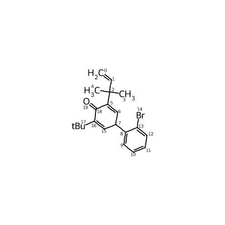 C=CC(C)(C)C1=CC(c2ccccc2Br)C=C(C(C)(C)C)C1=O